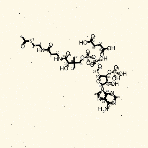 CC(=O)SCCNC(=O)CCNC(=O)[C@H](O)C(C)(C)COP(=O)(O)OP(=O)(O)OC[C@H]1O[C@@H](n2cnc3c(N)ncnc32)[C@H](O)[C@@H]1OP(=O)(O)O.O=C(O)CCC(=O)O